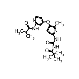 Cc1nc(NC(=O)NC(=O)C(C)(C)C)ccc1Oc1ccnc(NC(=O)C(C)C)c1